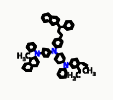 C=Cc1cc(N(c2ccccc2)C2C=CC(N(c3ccc(CCC(c4ccccc4)c4ccc5ccccc5c4)cc3)c3ccc(N(C4=CC=C5C=CC=CC5C4C)c4ccccc4)cc3)=CC2)ccc1/C=C\C